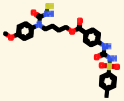 COc1ccc(N(CCCCOC(=O)c2ccc(NC(=O)NS(=O)(=O)c3ccc(C)cc3)cc2)C(=O)NS)cc1